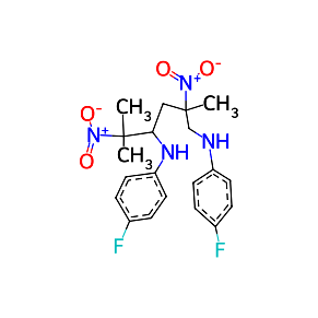 CC(CNc1ccc(F)cc1)(CC(Nc1ccc(F)cc1)C(C)(C)[N+](=O)[O-])[N+](=O)[O-]